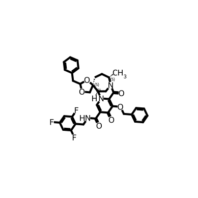 C[C@H]1CC[C@@]2(COC(Cc3ccccc3)O2)[C@H]2CN1C(=O)c1c(OCc3ccccc3)c(=O)c(C(=O)NCc3c(F)cc(F)cc3F)cn12